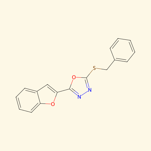 c1ccc(CSc2nnc(-c3cc4ccccc4o3)o2)cc1